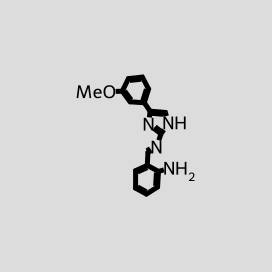 COc1cccc(-c2c[nH]c(N=Cc3ccccc3N)n2)c1